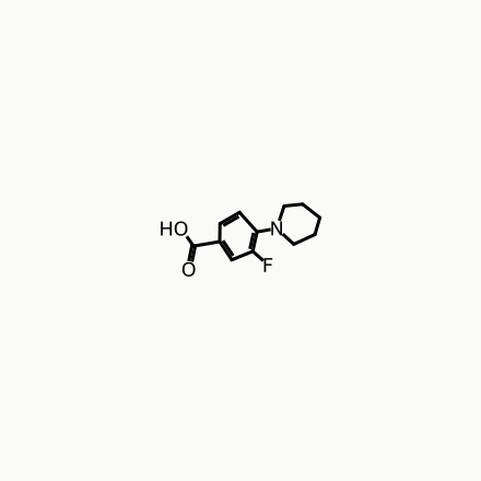 O=C(O)c1ccc(N2CCCCC2)c(F)c1